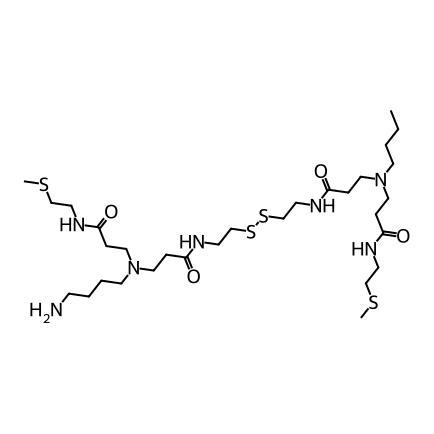 CCCCN(CCC(=O)NCCSC)CCC(=O)NCCSSCCNC(=O)CCN(CCCCN)CCC(=O)NCCSC